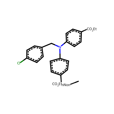 CCCCCCCCCC.CCOC(=O)c1ccc(N(Cc2ccc(Cl)cc2)c2ccc(C(=O)OCC)cc2)cc1